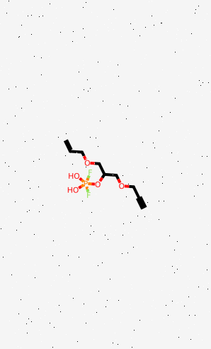 C#CCOCC(COCC=C)OP(O)(O)(F)F